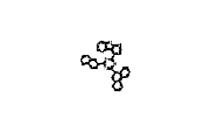 c1ccc2cc(-c3nc(-c4cc5ccccc5c5ccccc45)nc(-c4ccnc5oc6ccccc6c45)n3)ccc2c1